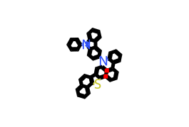 c1ccc(-c2ccccc2N(c2ccc3sc4c5ccccc5ccc4c3c2)c2ccc3c(c2)c2ccccc2n3-c2ccccc2)cc1